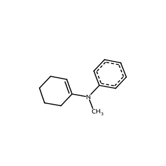 CN(C1=CCCCC1)c1ccccc1